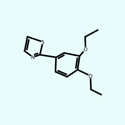 CCOc1ccc(-c2n[c]cs2)cc1OCC